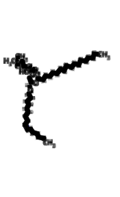 CCCCCC/C=C\CCCCCCCCOC[C@H](COP(=O)(O)OCC[N+](C)(C)C)OC(=O)CCCCCCCCCCCCCCCCC